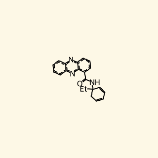 CCC1(NC(=O)c2cccc3nc4ccccc4nc23)C=CC=CC1